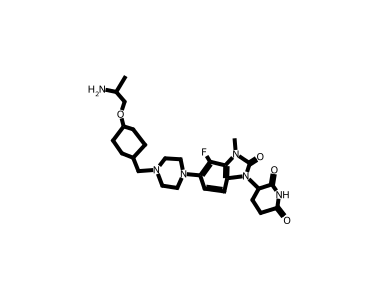 CC(N)COC1CCC(CN2CCN(c3ccc4c(c3F)n(C)c(=O)n4C3CCC(=O)NC3=O)CC2)CC1